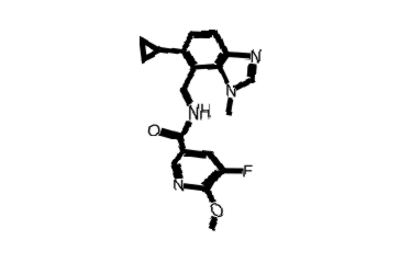 COc1ncc(C(=O)NCc2c(C3CC3)ccc3ncn(C)c23)cc1F